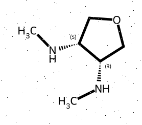 CN[C@H]1COC[C@H]1NC